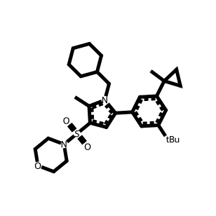 Cc1c(S(=O)(=O)N2CCOCC2)cc(-c2cc(C(C)(C)C)cc(C3(C)CC3)c2)n1CC1CCCCC1